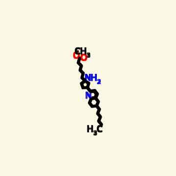 CCCCCCC1CCc2nc(C3CCC(N)(CCCCCC(=O)OC)C3)ccc2C1